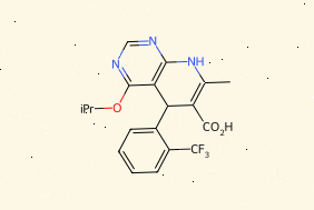 CC1=C(C(=O)O)C(c2ccccc2C(F)(F)F)c2c(ncnc2OC(C)C)N1